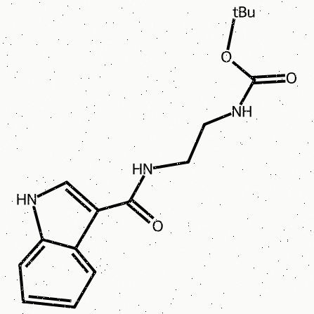 CC(C)(C)OC(=O)NCCNC(=O)c1c[nH]c2ccccc12